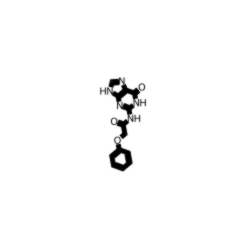 O=C(COc1ccccc1)Nc1nc2[nH]cnc2c(=O)[nH]1